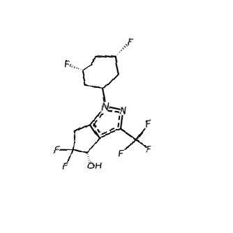 O[C@H]1c2c(C(F)(F)F)nn(C3C[C@@H](F)C[C@@H](F)C3)c2CC1(F)F